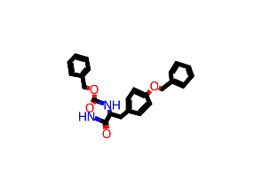 [NH]C(=O)C(Cc1ccc(OCc2ccccc2)cc1)NC(=O)OCc1ccccc1